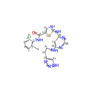 Cc1cccc(Cl)c1NC(=O)c1cnc(Nc2cc(NCCc3c[nH]nn3)ncn2)s1